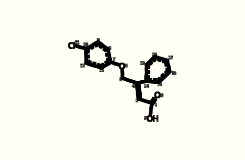 O=C(O)C=C(COc1ccc(Cl)cc1)c1ccccc1